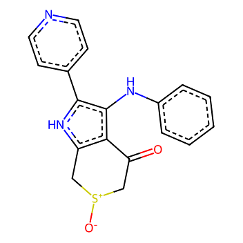 O=C1C[S+]([O-])Cc2[nH]c(-c3ccncc3)c(Nc3ccccc3)c21